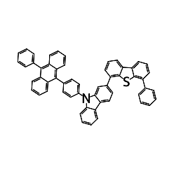 c1ccc(-c2c3ccccc3c(-c3ccc(-n4c5ccccc5c5ccc(-c6cccc7c6sc6c(-c8ccccc8)cccc67)cc54)cc3)c3ccccc23)cc1